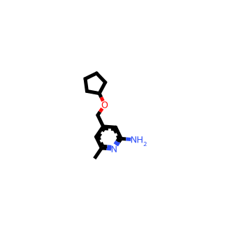 Cc1cc(COC2CCCC2)cc(N)n1